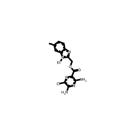 CCn1c(COC(=O)c2nc(Cl)c(N)nc2N)nc2ccc(C)cc21